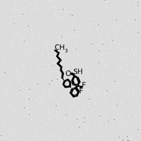 CCCCCCCCCC[C@H]1CC[C@H](c2ccccc2C2(C(F)F)C=CC(C(=O)S)C=C2)CC1